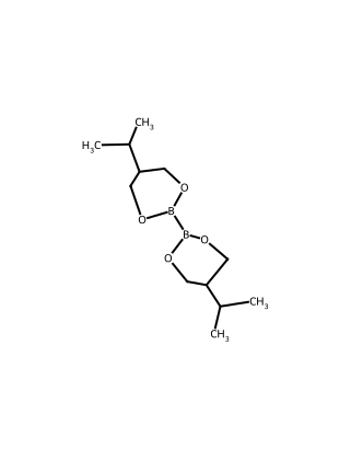 CC(C)C1COB(B2OCC(C(C)C)CO2)OC1